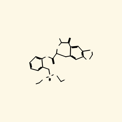 CCOP(=O)(Cc1ccccc1NC(=O)C1Cc2cc3c(cc2C(=O)C(C)S1)OCO3)OCC